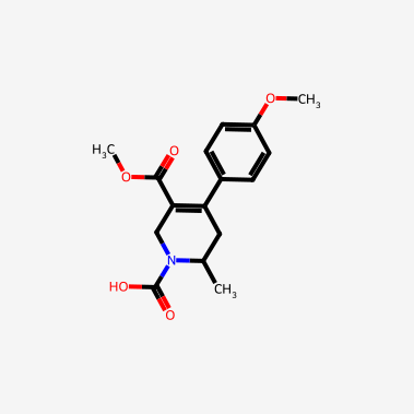 COC(=O)C1=C(c2ccc(OC)cc2)CC(C)N(C(=O)O)C1